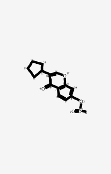 CS(=O)Oc1ccc2c(=O)c(C3CCCC3)coc2c1